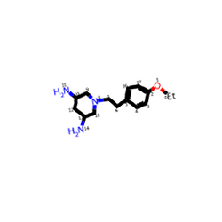 CCOc1ccc(CCN2CC(N)CC(N)C2)cc1